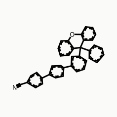 N#Cc1ccc(-c2ccc(-c3cccc(C4(c5ccccc5)c5ccccc5Oc5ccccc54)c3)cc2)cc1